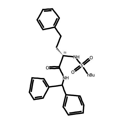 CCCCS(=O)(=O)N[C@@H](CCc1ccccc1)C(=O)NC(c1ccccc1)c1ccccc1